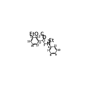 CCOC(=O)OC(CN(CC)c1ccccc1)c1ccccc1